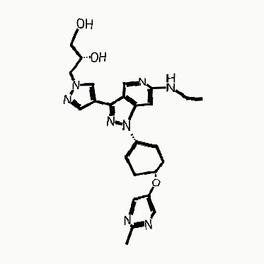 CCNc1cc2c(cn1)c(-c1cnn(C[C@@H](O)CO)c1)nn2[C@H]1CC[C@@H](Oc2cnc(C)nc2)CC1